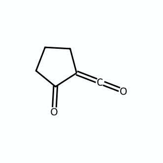 O=C=C1CCCC1=O